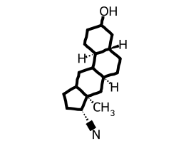 C[C@@]12C[C@@H]3CC[C@H]4CC(O)CC[C@@H]4C3CC1CC[C@H]2C#N